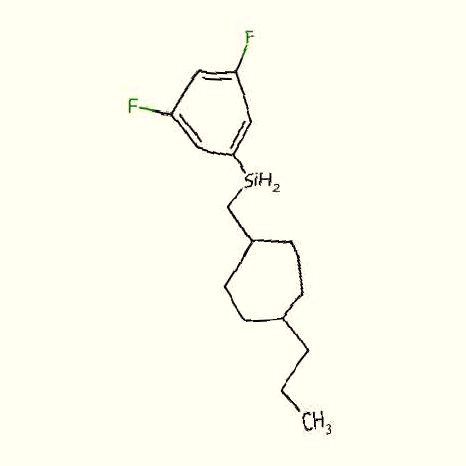 CCCC1CCC(C[SiH2]c2cc(F)cc(F)c2)CC1